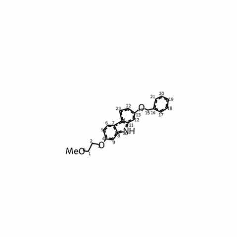 COCCOc1ccc2c(c1)[nH]c1cc(OCc3ccccc3)ccc12